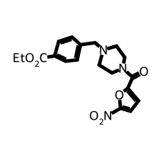 CCOC(=O)c1ccc(CN2CCN(C(=O)c3ccc([N+](=O)[O-])o3)CC2)cc1